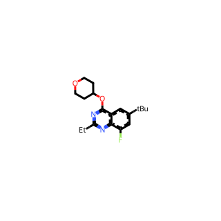 CCc1nc(OC2CCOCC2)c2cc(C(C)(C)C)cc(F)c2n1